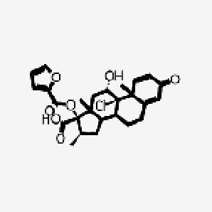 C[C@@H]1CC2C3CCC4=CC(=O)C=CC4(C)[C@@]3(Cl)[C@@H](O)CC2(C)[C@@]1(OC(=O)c1ccco1)C(=O)O